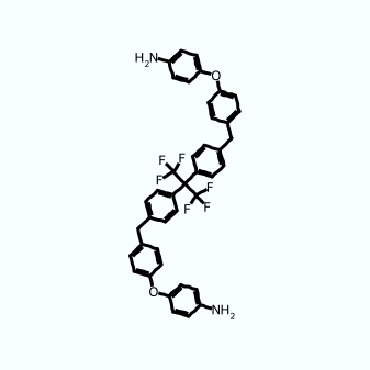 Nc1ccc(Oc2ccc(Cc3ccc(C(c4ccc(Cc5ccc(Oc6ccc(N)cc6)cc5)cc4)(C(F)(F)F)C(F)(F)F)cc3)cc2)cc1